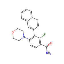 NC(=O)c1ccc(N2CCOCC2)c(-c2ccc3ccccc3c2)c1F